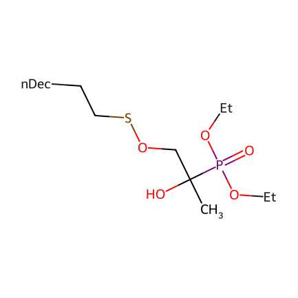 CCCCCCCCCCCCSOCC(C)(O)P(=O)(OCC)OCC